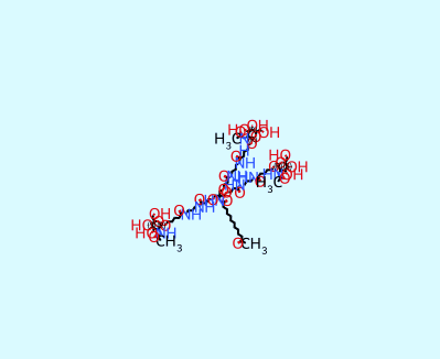 CC(=O)CCCCCCCCCCC(=O)NC(COCCC(=O)NCCCNC(=O)CCCCO[C@@H]1OC(CO)[C@@H](O)C(O)C1NC(C)=O)(COCCC(=O)NCCCNC(=O)CCCCO[C@@H]1OC(CO)[C@@H](O)C(O)C1NC(C)=O)COCCC(=O)NCCCNC(=O)CCCCO[C@@H]1OC(CO)[C@H](O)C(O)C1NC(C)=O